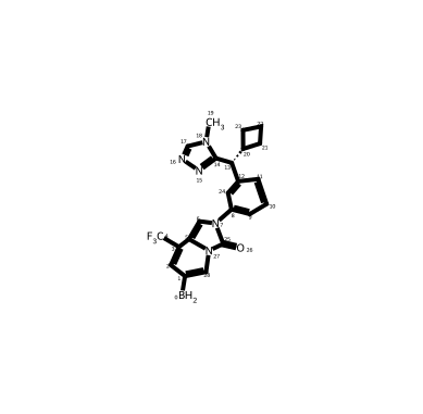 Bc1cc(C(F)(F)F)c2cn(-c3cccc([C@H](c4nncn4C)C4CCC4)c3)c(=O)n2c1